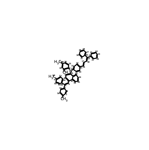 Cc1ccc(C(=Cc2ccc(N(c3ccc(/C=C/C=C(c4ccccc4)c4ccccc4)cc3)c3ccc(C)cc3C)c3ccccc23)c2ccc(C)cc2)cc1